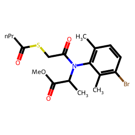 CCCC(=O)SCC(=O)N(c1c(C)ccc(Br)c1C)C(C)C(=O)OC